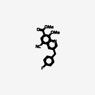 COC(=O)c1cc(C#N)c2cc(Cc3ccc(F)cc3)cnc2c1OC